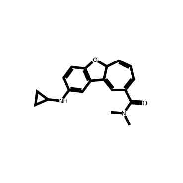 CN(C)C(=O)C1=CC=CC2Oc3ccc(NC4CC4)cc3C2=C1